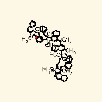 C=C(/C=C/C=C1/N(C)c2ccc3ccccc3c2C1(C)Cc1ccccc1)C(C)(Cc1ccccc1)c1c(C)cc(C(C)c2cc3c(c4ccccc24)C(C)(Cc2ccccc2)C(/C=C/C=C2/N(C)c4ccc5ccccc5c4C2(C)Cc2ccccc2)=[N+]3C)c2ccccc12